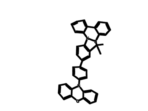 CC1(C)B2c3ccccc3-c3ccccc3N2c2ccc(-c3ccc(N4c5ccccc5Oc5ccccc54)cc3)cc21